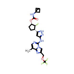 Cc1cnc(Nc2cc([C@@H]3CC[C@H](OC(=O)NC45CC(C4)C5)[C@H]3F)[nH]n2)n2cc(COC(F)(F)F)nc12